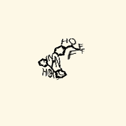 CCN1c2cc(C(O)C(F)(F)F)ccc2NC1C(O)(c1ccccc1)c1ccccc1